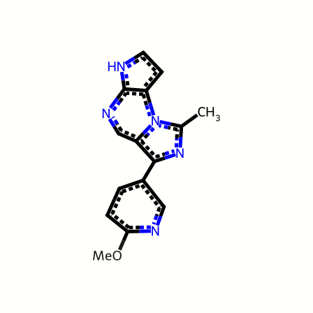 COc1ccc(-c2nc(C)n3c2cnc2[nH]ccc23)cn1